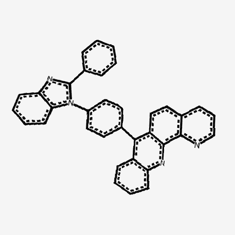 c1ccc(-c2nc3ccccc3n2-c2ccc(-c3c4ccccc4nc4c3ccc3cccnc34)cc2)cc1